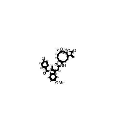 C=C1C(=O)O[C@H]2C1CC/C(NC(=O)Cc1c(C)n(C(=O)c3ccc(Cl)cc3)c3ccc(OC)cc13)=C\CC[C@@]1(C)OC21